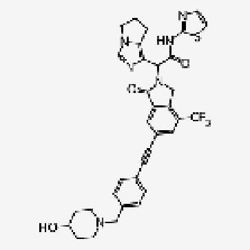 O=C(Nc1nccs1)C(c1ncn2c1CCC2)N1Cc2c(cc(C#Cc3ccc(CN4CCC(O)CC4)cc3)cc2C(F)(F)F)C1=O